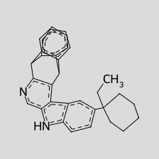 CCC1(c2ccc3[nH]c4cnc5c(c4c3c2)C2c3ccccc3C5c3ccccc32)CCCCC1